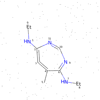 CCNC1=C=C(C)C(NCC)=NC=N1